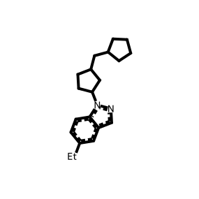 CCc1ccc2c(cnn2C2CCC(CC3CCCC3)C2)c1